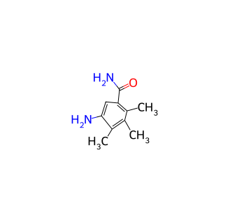 Cc1c(N)cc(C(N)=O)c(C)c1C